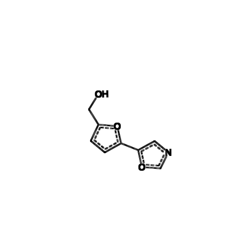 OCc1ccc(-c2cnco2)o1